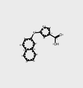 O=C(O)c1csc(Sc2ccc3ccccc3c2)c1